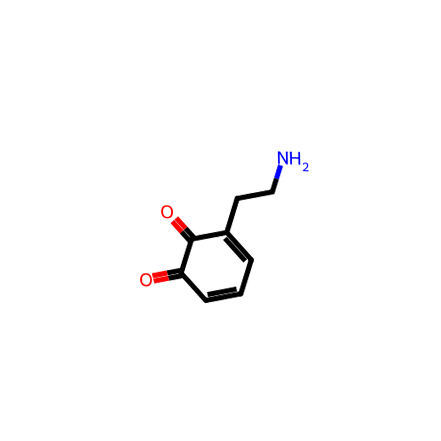 NCCC1=CC=CC(=O)C1=O